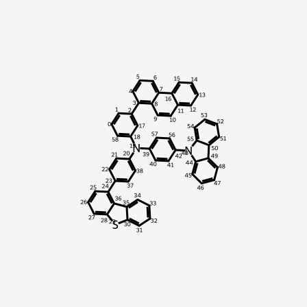 c1cc(-c2cccc3c2ccc2ccccc23)cc(N(c2ccc(-c3cccc4sc5ccccc5c34)cc2)c2ccc(-n3c4ccccc4c4ccccc43)cc2)c1